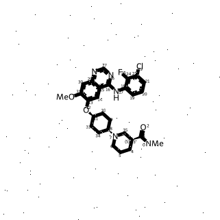 CNC(=O)[C@H]1CCCN([C@H]2CC[C@H](Oc3cc4c(Nc5cccc(Cl)c5F)ncnc4cc3OC)CC2)C1